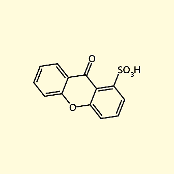 O=c1c2ccccc2oc2cccc(S(=O)(=O)O)c12